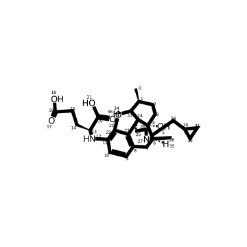 C[C@H]1CC[C@@]2(O)[C@H]3Cc4ccc(N[C@@H](CCC(=O)O)C(=O)O)c5c4[C@@]2(CC[N+]3(C)CC2CC2)[C@H]1O5